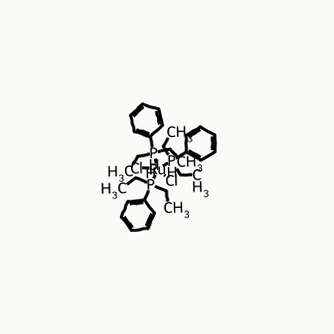 CC[PH](CC)(c1ccccc1)[Ru]([Cl])([Cl])([PH](CC)(CC)c1ccccc1)[PH](CC)(CC)c1ccccc1